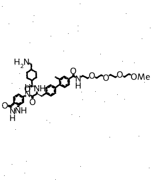 COCCOCCOCCOCCNC(=O)c1ccc(-c2ccc(C[C@H](NC(=O)C3CCC(CN)CC3)C(=O)Nc3ccc4c(=O)[nH][nH]c4c3)cc2)c(C)c1